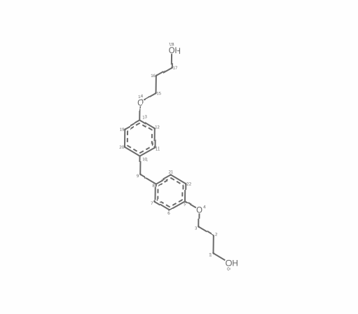 OCCCOc1ccc(Cc2ccc(OCCCO)cc2)cc1